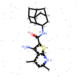 Cc1cc(C)c2c(N)c(C(=O)NC34CC5CC6CC(C3)C6(C5)C4)sc2n1